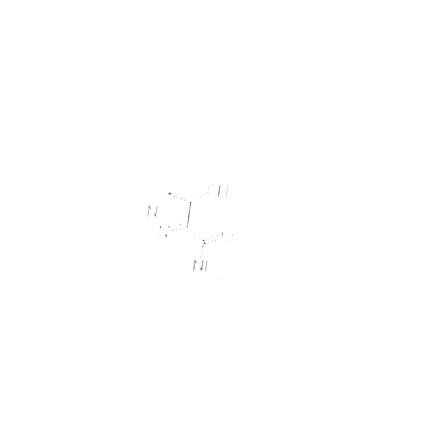 CC1CNN=C1C(N)=O